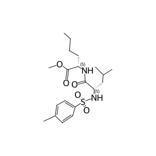 CCCC[C@H](NC(=O)[C@H](CC(C)C)NS(=O)(=O)c1ccc(C)cc1)C(=O)OC